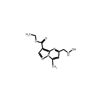 CCOC(=O)c1cnn2c(C)cc([CH2][InH][OH])nc12